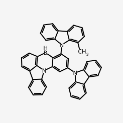 Cc1cccc2c3ccccc3n(-c3cc(-n4c5ccccc5c5ccccc54)cc4c3Bc3cccc5c6ccccc6n-4c35)c12